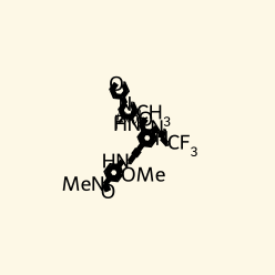 CNC(=O)c1ccc(NCC#Cc2cc(C(=O)N[C@@H]3[C@@H](C)CN(C4CCOCC4)C[C@@H]3F)c3ncn(CC(F)(F)F)c3c2)c(OC)c1